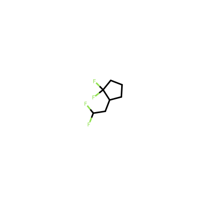 F[C](F)CC1CCCC1(F)F